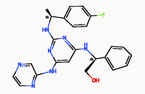 C[C@H](Nc1nc(Nc2cnccn2)cc(N[C@H](CO)c2ccccc2)n1)c1ccc(F)cc1